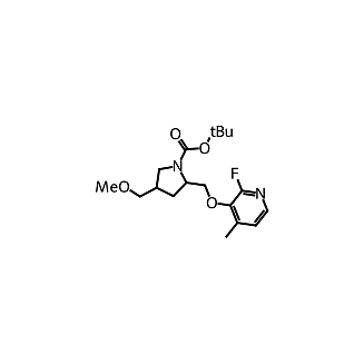 COCC1CC(COc2c(C)ccnc2F)N(C(=O)OC(C)(C)C)C1